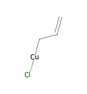 C=C[CH2][Cu][Cl]